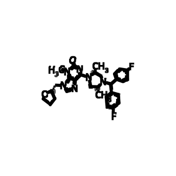 C[C@@H]1CN(c2nc(=O)n(C)c3c2ncn3C[C@@H]2CCCO2)[C@@H](C)CN1C(c1ccc(F)cc1)c1ccc(F)cc1